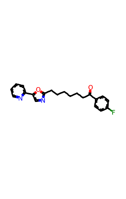 O=C(CCCCCCc1ncc(-c2ccccn2)o1)c1ccc(F)cc1